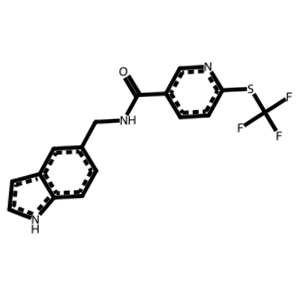 O=C(NCc1ccc2[nH]ccc2c1)c1ccc(SC(F)(F)F)nc1